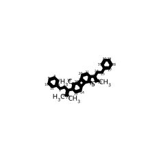 CC(C)=C(CCc1ccccc1)c1ccc2c(c1C)-c1ccc3c(CCc4ccccc4)c(C)sc3c1-2